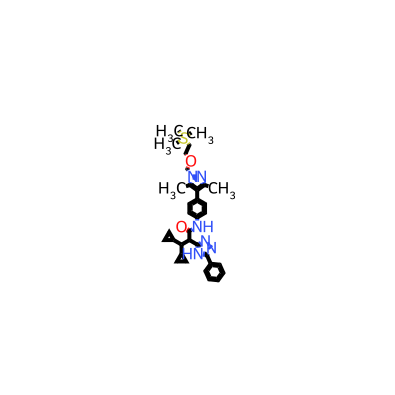 Cc1nn(COCCS(C)(C)C)c(C)c1-c1ccc(NC(=O)C(c2nnc(-c3ccccc3)[nH]2)C(C2CC2)C2CC2)cc1